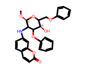 CO[C@H]1OC(COc2ccccc2)[C@@H](O)C(Oc2ccccc2)C1Nc1ccc2ccc(=O)oc2c1